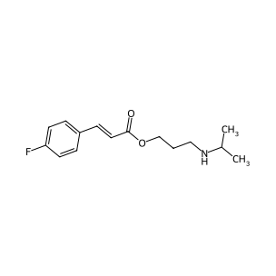 CC(C)NCCCOC(=O)/C=C/c1ccc(F)cc1